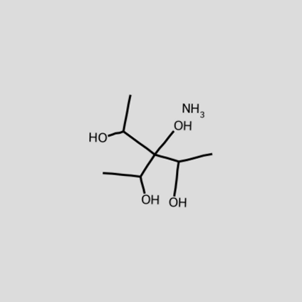 CC(O)C(O)(C(C)O)C(C)O.N